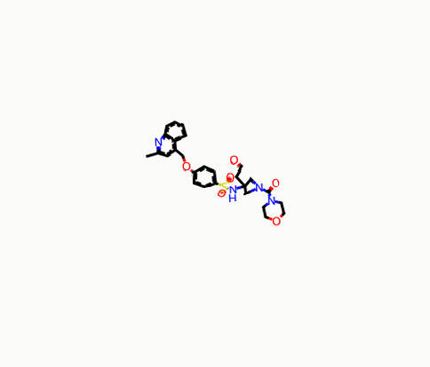 Cc1cc(COc2ccc(S(=O)(=O)NC3(CC=O)CN(C(=O)N4CCOCC4)C3)cc2)c2ccccc2n1